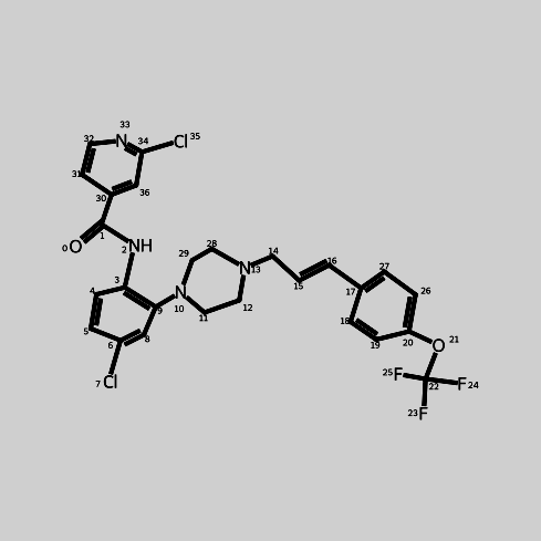 O=C(Nc1ccc(Cl)cc1N1CCN(C/C=C/c2ccc(OC(F)(F)F)cc2)CC1)c1ccnc(Cl)c1